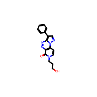 O=c1c2nnc3c(-c4ccccc4)cnn3c2ccn1CCCO